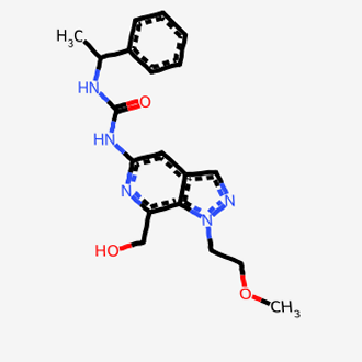 COCCn1ncc2cc(NC(=O)NC(C)c3ccccc3)nc(CO)c21